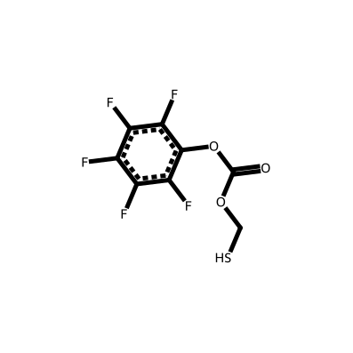 O=C(OCS)Oc1c(F)c(F)c(F)c(F)c1F